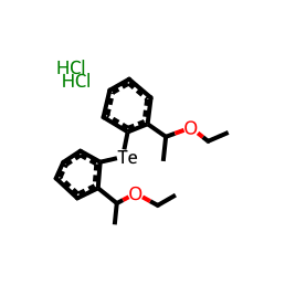 CCOC(C)c1ccccc1[Te]c1ccccc1C(C)OCC.Cl.Cl